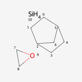 C1CC2CCC1C2.C1CO1.[SiH4]